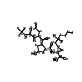 C=CCCC(F)(F)CC1CC1(NC(=O)[C@@H]1C[C@@H](O)CN1C(=O)C(CC=C)NC(=O)OC(C)(C)C)C(=O)O